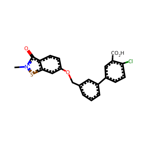 Cn1sc2cc(OCc3cccc(-c4ccc(Cl)c(C(=O)O)c4)c3)ccc2c1=O